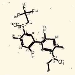 CC[S+]([O-])c1cc(-c2cc([S+]([O-])CC(F)(F)F)c(C)cc2F)c(F)cc1C